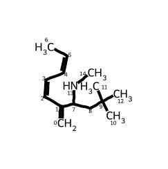 C=C(/C=C\C=C/C)C(CC(C)(C)C)NC